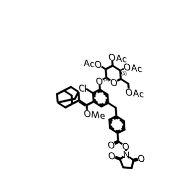 COC(=C1C2CC3CC(C2)CC1C3)c1cc(Cc2ccc(C(=O)ON3C(=O)CCC3=O)cc2)cc(O[C@@H]2OC(COC(C)=O)[C@H](OC(C)=O)C(OC(C)=O)C2OC(C)=O)c1Cl